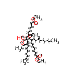 CCCCCCCCCC(CCCCCCCC(=O)OC)C(OC)C1(CCCCCCCC(=O)OC)CC(CCCCCCC)C(C)OC1O